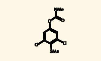 CNC(=O)Oc1cc(Cl)c(SC)c(Cl)c1